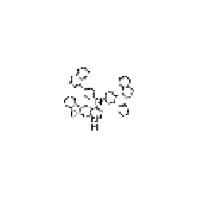 C1=C(N(c2ccc(-c3cccc4ccccc34)cc2)c2ccc(-c3c(-c4ccccc4)ccc4ccccc34)cc2)c2cc3c(cc2NC1)oc1ccccc13